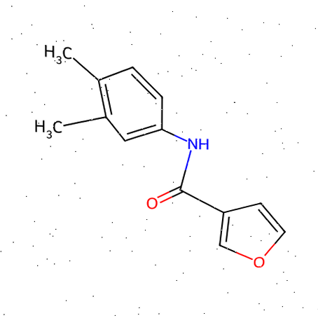 Cc1ccc(NC(=O)c2ccoc2)cc1C